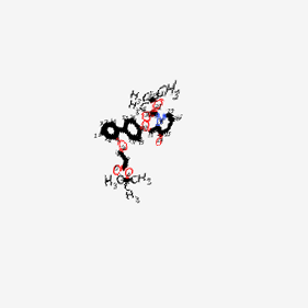 CC(C)(C)OC(=O)CCOc1ccccc1C1CCC(OCC2C(=O)CCCN2C(=O)OC(C)(C)C)CC1